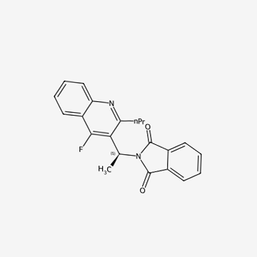 CCCc1nc2ccccc2c(F)c1[C@H](C)N1C(=O)c2ccccc2C1=O